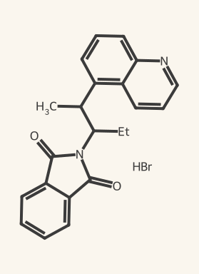 Br.CCC(C(C)c1cccc2ncccc12)N1C(=O)c2ccccc2C1=O